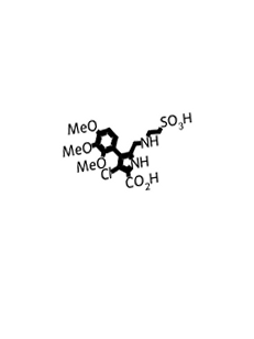 COc1ccc(-c2c(CNCCS(=O)(=O)O)[nH]c(C(=O)O)c2Cl)c(OC)c1OC